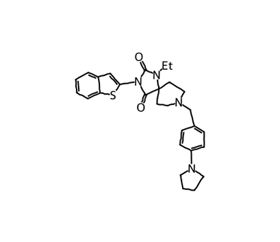 CCN1C(=O)N(c2cc3ccccc3s2)C(=O)C12CCN(Cc1ccc(N3CCCC3)cc1)CC2